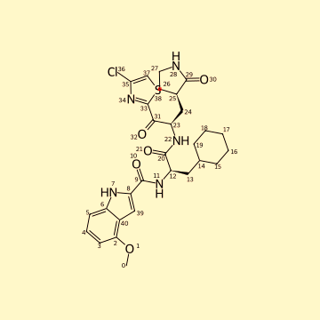 COc1cccc2[nH]c(C(=O)N[C@H](CC3CCCCC3)C(=O)N[C@H](C[C@H]3CCNC3=O)C(=O)c3nc(Cl)cs3)cc12